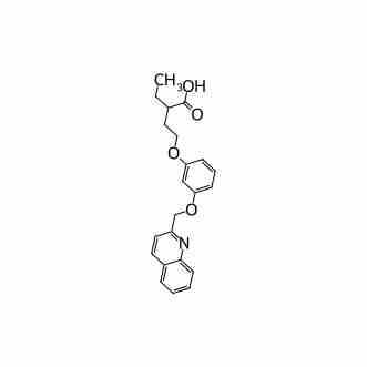 CCC(CCOc1cccc(OCc2ccc3ccccc3n2)c1)C(=O)O